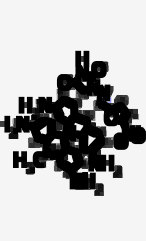 C[n+]1c2cc(N)ccc2cc2ccc(N)cc21.Nc1ccc2cc3ccc(N)cc3nc2c1.O=C1CN(/N=C/c2ccc([N+](=O)[O-])o2)C(=O)N1.[Cl-]